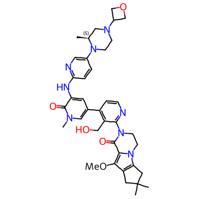 COc1c2c(n3c1C(=O)N(c1nccc(-c4cc(Nc5ccc(N6CCN(C7COC7)C[C@@H]6C)cn5)c(=O)n(C)c4)c1CO)CC3)CC(C)(C)C2